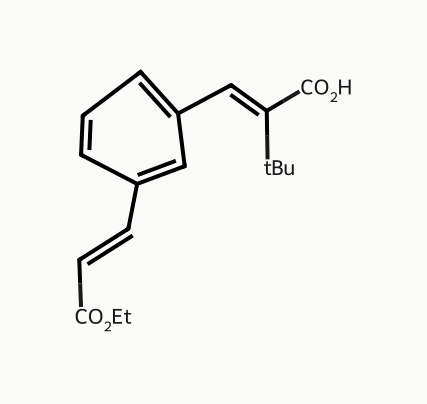 CCOC(=O)C=Cc1cccc(C=C(C(=O)O)C(C)(C)C)c1